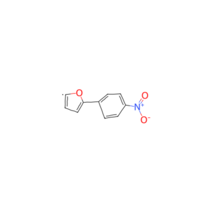 O=[N+]([O-])c1ccc(-c2cc[c]o2)cc1